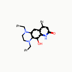 CC(=O)c1cc(=O)[nH]c2c(O)c3c(cc12)N(CC(C)C)CCN3CC(C)C